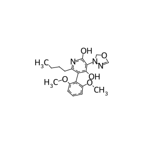 CCCCc1nc(O)c(N2COC=N2)c(O)c1-c1c(OC)cccc1OC